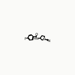 N#CN1CCC(NC(=O)c2ccc(F)cc2)C1